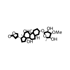 CO[C@@H]1[C@@H](O)[C@H](C)OC(O[C@H]2CC[C@]3(C=O)C4CC[C@]5(C)[C@@H](C6=CC(=O)OC6)CC[C@]5(O)C4CC[C@@H]3C2)[C@H]1O